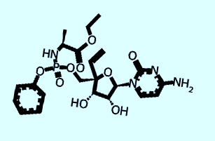 C=C[C@]1(COP(=O)(N[C@@H](C)C(=O)OCC)Oc2ccccc2)O[C@@H](n2ccc(N)nc2=O)[C@H](O)[C@@H]1O